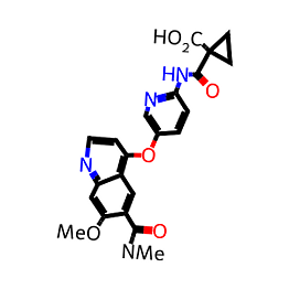 CNC(=O)c1cc2c(Oc3ccc(NC(=O)C4(C(=O)O)CC4)nc3)ccnc2cc1OC